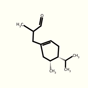 CC(C=O)CC1=CC[C@H](C(C)C)[C@H](C)C1